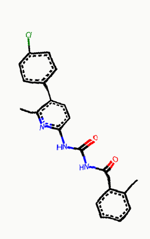 Cc1ccccc1C(=O)NC(=O)Nc1ccc(-c2ccc(Cl)cc2)c(C)n1